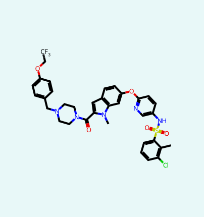 Cc1c(Cl)cccc1S(=O)(=O)Nc1ccc(Oc2ccc3cc(C(=O)N4CCN(Cc5ccc(OCC(F)(F)F)cc5)CC4)n(C)c3c2)nc1